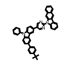 CC(C)(C)c1ccc(-c2ccc3c(c2)c2cc(-c4cnc(-n5c6ccccc6c6cc7ccccc7cc65)nc4)ccc2n3-c2ccccc2)cc1